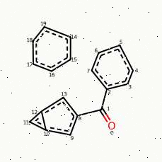 O=C(c1ccccc1)c1cc2[c]c-2c1.[c]1ccccc1